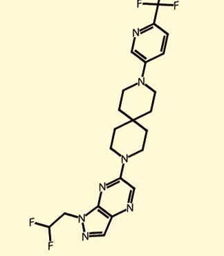 FC(F)Cn1ncc2ncc(N3CCC4(CCN(c5ccc(C(F)(F)F)nc5)CC4)CC3)nc21